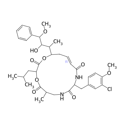 COc1ccc(CC2NC(=O)/C=C/CC(C(C)C(O)C(OC)c3ccccc3)OC(=O)C(CC(C)C)OC(=O)C(C)CNC2=O)cc1Cl